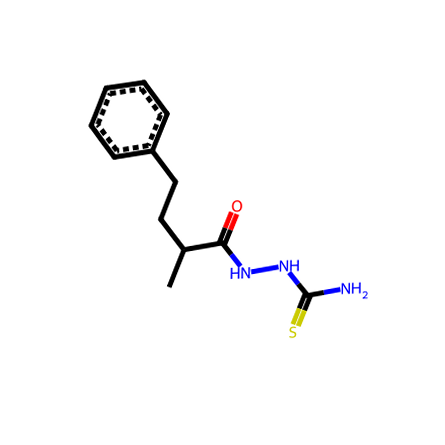 CC(CCc1ccccc1)C(=O)NNC(N)=S